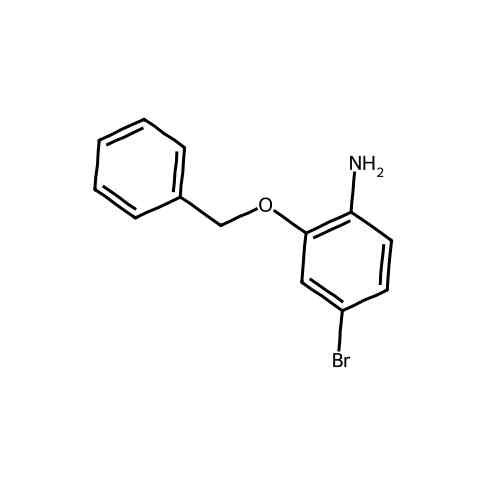 Nc1ccc(Br)cc1OCc1ccccc1